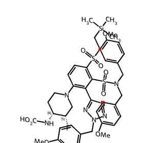 COc1ccc(CN(Cc2ccc(OC)cc2)S(=O)(=O)c2c(S(=O)(=O)CC[Si](C)(C)C)ccc(N3CC[C@@H](NC(=O)O)[C@@H](F)C3)c2-c2nnn(Cc3ccc(OC)cc3)n2)cc1